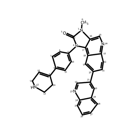 Cn1c(=O)n(-c2ccc(C3=CCNCC3)cc2)c2c3cc(-c4cnc5ccccc5c4)ccc3ncc21